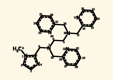 Cn1ccnc1CN(CCN(Cc1ccccn1)Cc1ccccn1)Cc1ccccn1